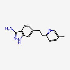 Cc1ccc(CCc2ccc3c(N)n[nH]c3c2)nc1